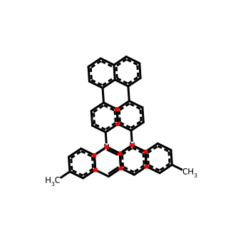 Cc1ccc(N(C2=CCCC=C2)c2ccc(-c3cccc4cccc(-c5ccc(N(c6ccccc6)c6ccc(C)cc6)cc5)c34)cc2)cc1